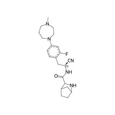 CN1CCCN(c2ccc(C[C@@H](C#N)NC(=O)C3NC4CCC3C4)c(F)c2)CC1